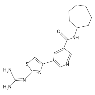 NC(N)=Nc1nc(-c2cncc(C(=O)NC3CCCCCC3)c2)cs1